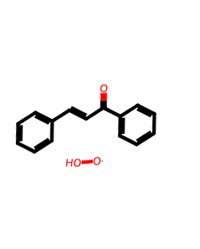 O=C(C=Cc1ccccc1)c1ccccc1.[O]O